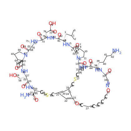 CC(C)C[C@@H]1NC(=O)[C@@H]2CCCN2C(=O)[C@@H]2CSCc3cc(cc(c3)OCCCCCCO/N=C/C(=O)N[C@@H](CCCCN)C(=O)N2)CSC[C@@H](C(N)=O)NC(=O)[C@H](CO)NC(=O)[C@@H]2CCCN2C(=O)[C@H](C)NC(=O)[C@H](CC(=O)O)NC1=O